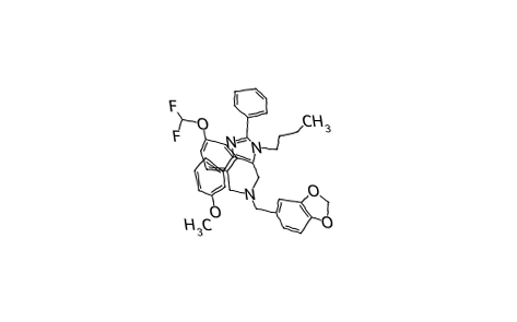 CCCCn1c(-c2ccccc2)nc(-c2cccc(OC)c2)c1CN(Cc1ccc(OC(F)F)cc1)Cc1ccc2c(c1)OCO2